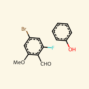 COc1cc(Br)cc(F)c1C=O.Oc1ccccc1